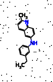 CCc1cccc(Nc2ccc3nc(C)ccc3c2)c1